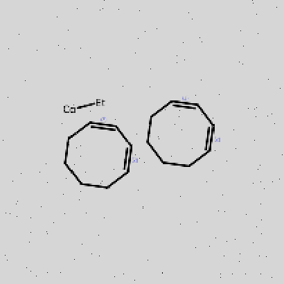 C1=C\CCCC\C=C/1.C1=C\CCCC\C=C/1.C[CH2][Co]